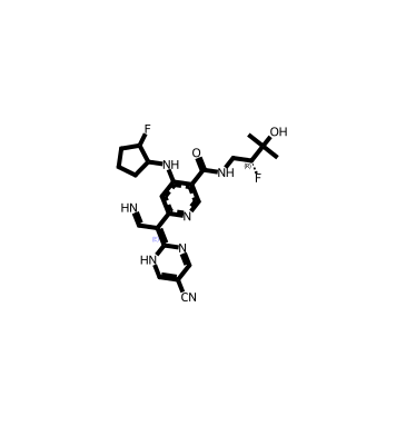 CC(C)(O)[C@H](F)CNC(=O)c1cnc(/C(C=N)=C2\N=CC(C#N)=CN2)cc1NC1CCCC1F